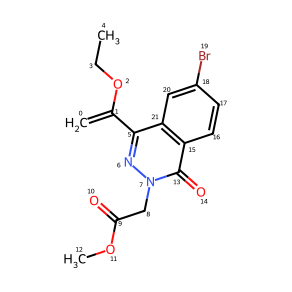 C=C(OCC)c1nn(CC(=O)OC)c(=O)c2ccc(Br)cc12